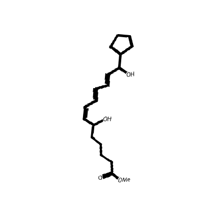 COC(=O)CCCCC(O)\C=C/C=C/C=C/C(O)C1CCCC1